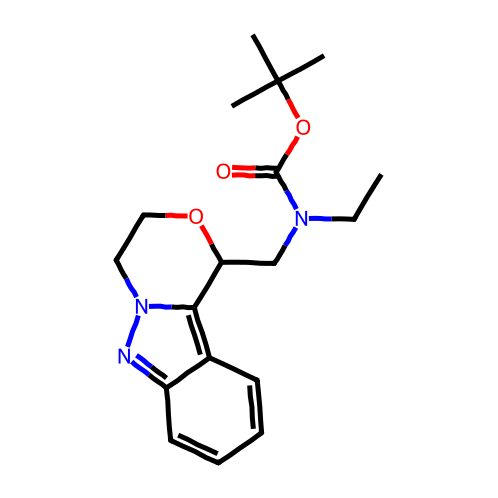 CCN(CC1OCCn2nc3ccccc3c21)C(=O)OC(C)(C)C